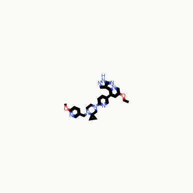 CCOc1cc(-c2ccc(N3CCN(Cc4ccc(OC)nc4)C4(CC4)C3)nc2)c2c3cn[nH]c3nn2c1